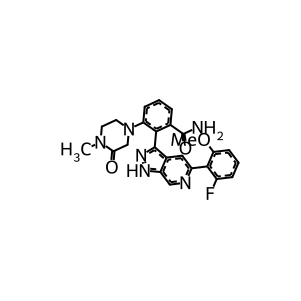 COc1cccc(F)c1-c1cc2c(-c3c(C(N)=O)cccc3N3CCN(C)C(=O)C3)n[nH]c2cn1